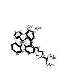 COC(OC)[SiH2]CCCOc1ccc(O)cc1[P+](c1ccccc1)(c1ccccc1)c1ccccc1.[Br-]